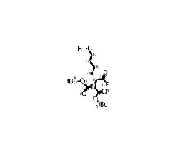 CC(C)(C)OC(=O)N(C(=O)OC(C)(C)C)[C@H](CCCCN)C(=O)F